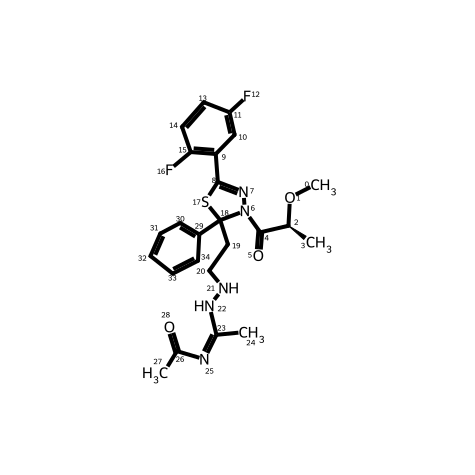 CO[C@@H](C)C(=O)N1N=C(c2cc(F)ccc2F)SC1(CCNN/C(C)=N\C(C)=O)c1ccccc1